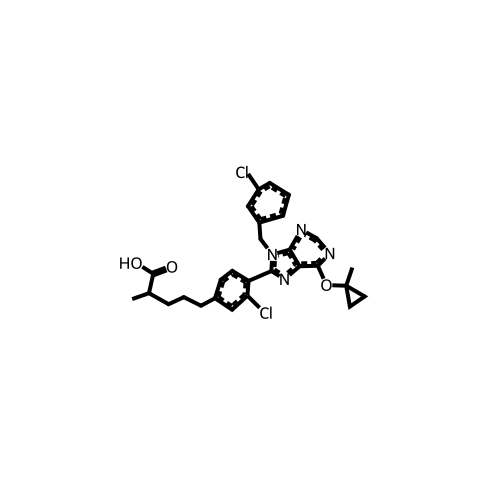 CC(CCCc1ccc(-c2nc3c(OC4(C)CC4)ncnc3n2Cc2cccc(Cl)c2)c(Cl)c1)C(=O)O